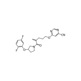 C=C(CCCOc1cc(C#N)ncn1)C(=O)N1CCC(Oc2cc(F)ccc2F)C1